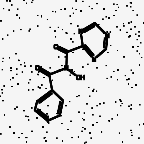 O=C(c1ccccc1)N(O)C(=O)c1ncncn1